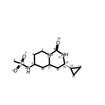 CS(=O)(=O)NC1CCN2C(=O)N[C@H](C3CC3)CC2C1